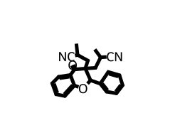 CC(C#N)CC1(CC(C)C#N)C(=O)c2ccccc2OC1c1ccccc1